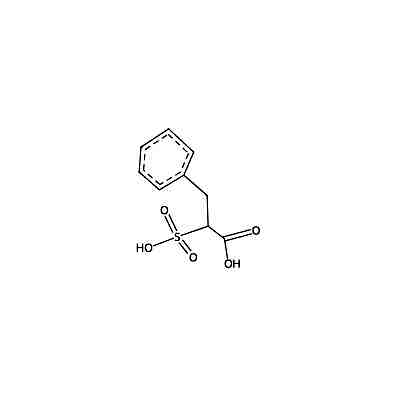 O=C(O)C(Cc1ccccc1)S(=O)(=O)O